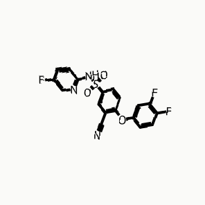 N#Cc1cc(S(=O)(=O)Nc2ccc(F)cn2)ccc1Oc1ccc(F)c(F)c1